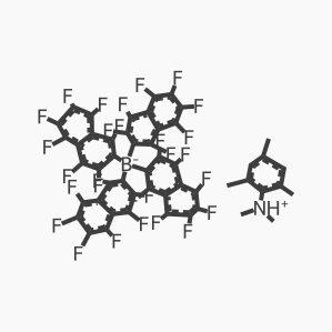 Cc1cc(C)c([NH+](C)C)c(C)c1.Fc1c(F)c(F)c2c(F)c([B-](c3c(F)c(F)c4c(F)c(F)c(F)c(F)c4c3F)(c3c(F)c(F)c4c(F)c(F)c(F)c(F)c4c3F)c3c(F)c(F)c4c(F)c(F)c(F)c(F)c4c3F)c(F)c(F)c2c1F